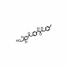 O=C(NCc1ccc(F)cc1)Nc1ccc(CC(=O)N2C[C@@H]3C(CO)[C@@H]3C2)cc1